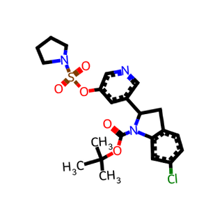 CC(C)(C)OC(=O)N1c2cc(Cl)ccc2CC1c1cncc(OS(=O)(=O)N2CCCC2)c1